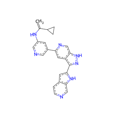 C=C(Nc1cncc(-c2cc3c(-c4cc5ccncc5[nH]4)n[nH]c3cn2)c1)C1CC1